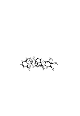 CC1=C(C)C(=O)O[C@@H]([C@](C)(O)[C@]2(O)CC[C@@]3(O)[C@@H]4CC=C5CC=CC(=O)[C@]5(C)[C@H]4CC[C@]23C)C1